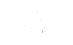 O=C(O)c1cccnc1.O=C(O)c1cccnc1.[SeH2]